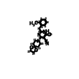 Cc1ccccc1Cc1nc(N2CCC3(CC2)OCCO3)c(C#N)c(=O)[nH]1